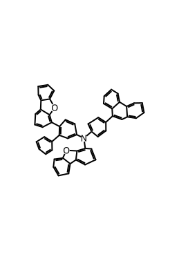 c1ccc(-c2cc(N(c3ccc(-c4cc5ccccc5c5ccccc45)cc3)c3cccc4c3oc3ccccc34)ccc2-c2cccc3c2oc2ccccc23)cc1